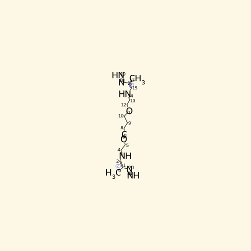 C/C(=C/NCCOCCCCOCCN/C=C(/C)N=N)N=N